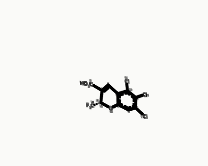 O=C(O)C1=Cc2c(cc(Cl)c(Cl)c2Cl)O[C@@H]1C(F)(F)F